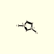 In1cc[n+](I)c1